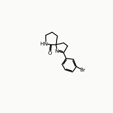 O=C1NCCCC12CCC(c1cccc(Br)c1)=N2